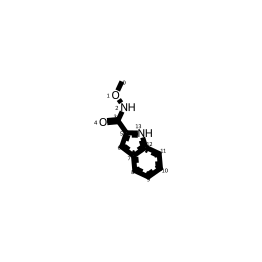 CONC(=O)c1cc2ccccc2[nH]1